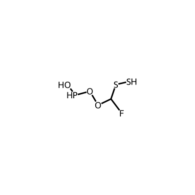 OPOOC(F)SS